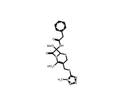 COC1(NC(=O)Cc2ccccc2)C(=O)N2C(C(=O)O)=C(CSc3nnnn3C)CSC21